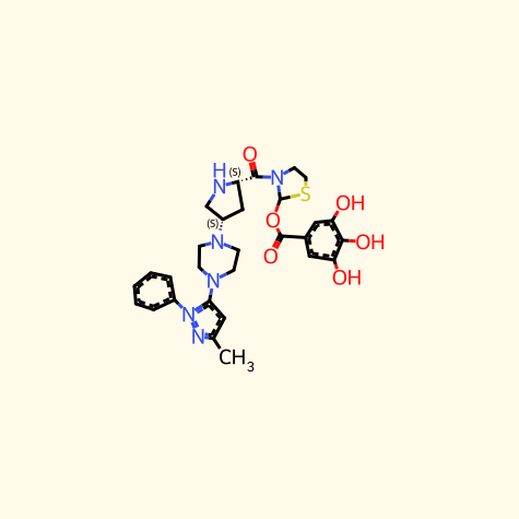 Cc1cc(N2CCN([C@@H]3CN[C@H](C(=O)N4CCSC4OC(=O)c4cc(O)c(O)c(O)c4)C3)CC2)n(-c2ccccc2)n1